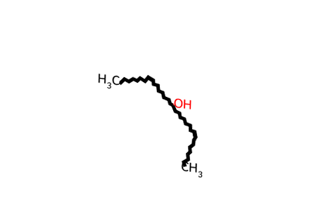 CCCCCCCC/C=C\CCCCCCCC(O)CCCCCCC/C=C\CCCCCCCC